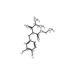 CCOC(=O)C(Cc1ccc(F)c(F)c1)C(=O)C(C)C